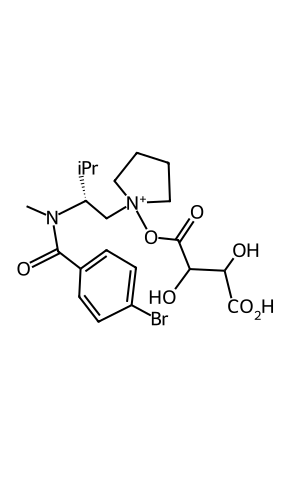 CC(C)[C@H](C[N+]1(OC(=O)C(O)C(O)C(=O)O)CCCC1)N(C)C(=O)c1ccc(Br)cc1